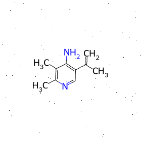 C=C(C)c1cnc(C)c(C)c1N